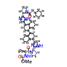 COC(=O)N[C@H](C(=O)N1CCC[C@H]1c1nc(-c2ccc(-c3ccc(-c4cnc([C@@H]5CCCN5C(=O)Cc5ccccc5)[nH]4)c4ccccc34)c3ccccc23)c[nH]1)C(C)C